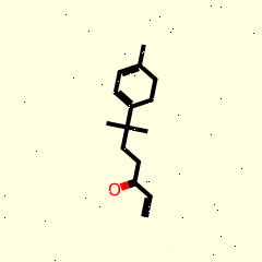 C=CC(=O)CCC(C)(C)C1=CC=C(C)CC1